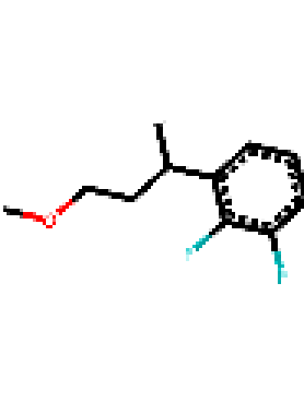 [CH2]C(CCOC)c1cccc(F)c1F